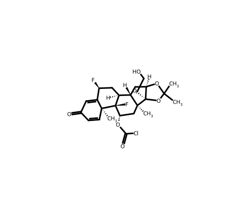 CC1(C)O[C@@H]2C[C@H]3[C@@H]4C[C@H](F)C5=CC(=O)C=C[C@]5(C)[C@@]4(F)[C@@H](OC(=O)Cl)C[C@]3(C)[C@]2(C(=O)CO)O1